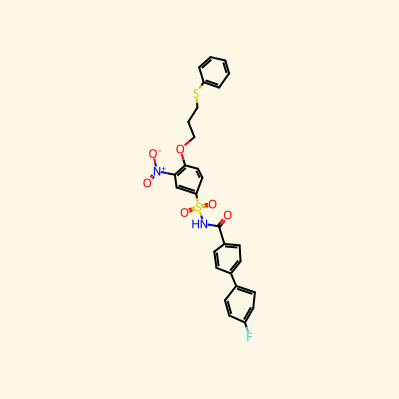 O=C(NS(=O)(=O)c1ccc(OCCCSc2ccccc2)c([N+](=O)[O-])c1)c1ccc(-c2ccc(F)cc2)cc1